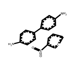 Nc1ccc(-c2ccc(N)cc2)cc1.O=[SH](=O)c1ccccc1